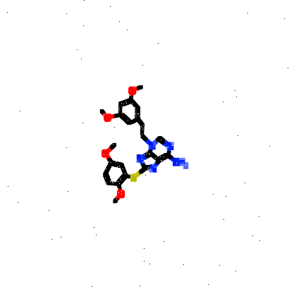 COc1cc(CCn2cnc(N)c3nc(Sc4cc(OC)ccc4OC)nc2-3)cc(OC)c1